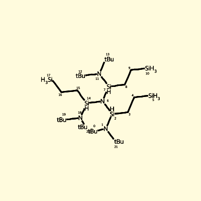 CC(C)(C)N([SiH](CC[SiH3])N([SiH](CC[SiH3])N(C(C)(C)C)C(C)(C)C)[SiH](CC[SiH3])N(C(C)(C)C)C(C)(C)C)C(C)(C)C